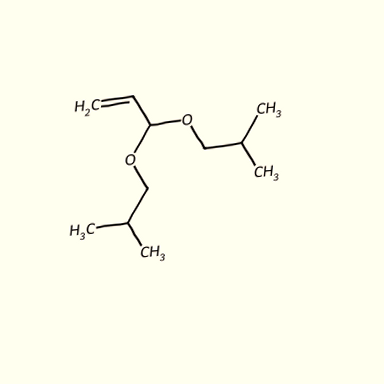 C=CC(OCC(C)C)OCC(C)C